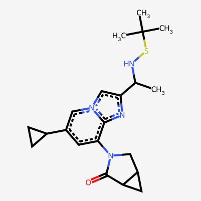 CC(NSC(C)(C)C)c1cn2cc(C3CC3)cc(N3CC4CC4C3=O)c2n1